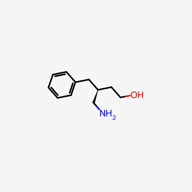 NC[C@H](CCO)Cc1ccccc1